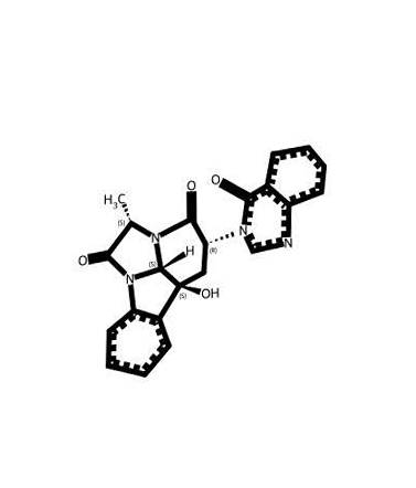 C[C@H]1C(=O)N2c3ccccc3[C@@]3(O)C[C@@H](n4cnc5ccccc5c4=O)C(=O)N1[C@@H]23